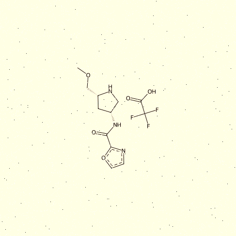 COC[C@H]1C[C@@H](NC(=O)c2ncco2)CN1.O=C(O)C(F)(F)F